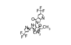 CCS(=O)(=O)c1c(N2Cc3ncc(C(F)(F)F)cc3C2=O)nc(-n2cc(C(F)(F)F)cn2)n1C